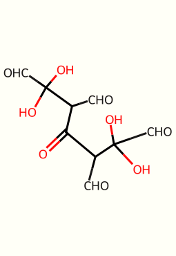 O=CC(C(=O)C(C=O)C(O)(O)C=O)C(O)(O)C=O